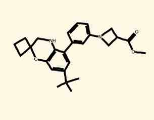 COC(=O)C1CN(c2cccc(-c3cc(C(C)(C)C)cc4c3NCC3(CCC3)O4)c2)C1